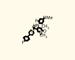 COc1ccc(Nc2c(C(=O)N3CCC(c4ccc(F)cc4)CC3)cn(C)c(=O)c2C)c(F)c1